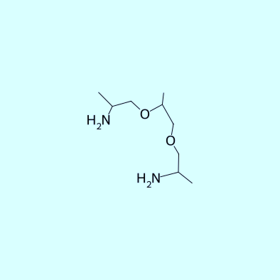 CC(N)COCC(C)OCC(C)N